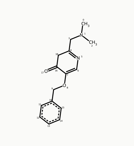 CN(C)CC1=NC=C(OCc2ccccc2)C(=O)C1